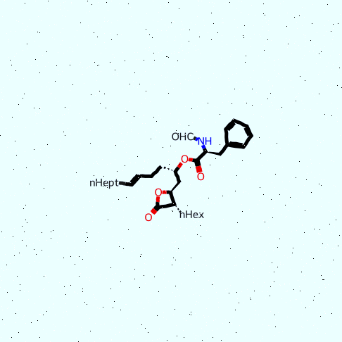 CCCCCCC/C=C/CC[C@@H](C[C@@H]1OC(=O)[C@H]1CCCCCC)OC(=O)[C@H](Cc1ccccc1)NC=O